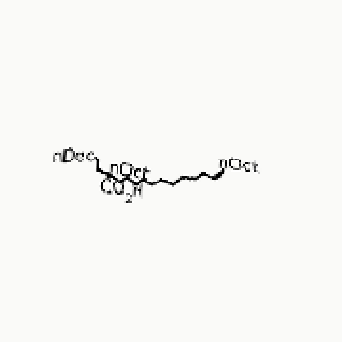 CCCCCCCC/C=C\CCCCCCCCCCC(CCCCCCCC)(CCCCCCCCCCCC)C(=O)O